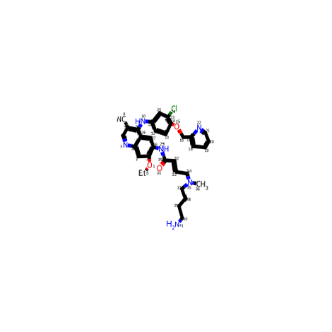 CCOc1cc2ncc(C#N)c(Nc3ccc(OCc4ccccn4)c(Cl)c3)c2cc1NC(=O)/C=C/CN(C)CCCCN